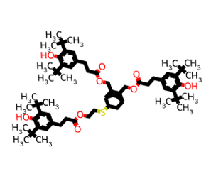 CC(C)(C)c1cc(CCC(=O)OCCSC2CC3CCC2C(COC(=O)CCc2cc(C(C)(C)C)c(O)c(C(C)(C)C)c2)C3COC(=O)CCc2cc(C(C)(C)C)c(O)c(C(C)(C)C)c2)cc(C(C)(C)C)c1O